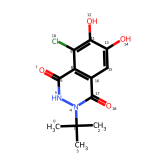 CC(C)(C)n1[nH]c(=O)c2c(Cl)c(O)c(O)cc2c1=O